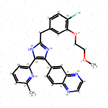 COCCOc1cc(Cc2nc(-c3ccc4nccnc4c3)c(-c3cccc(C)n3)[nH]2)ccc1F